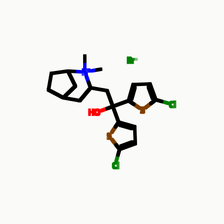 C[N+]1(C)C2CCC(C2)CC1CC(O)(c1ccc(Cl)s1)c1ccc(Cl)s1.[Br-]